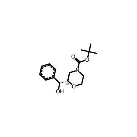 CC(C)(C)OC(=O)N1CCO[C@H](C(O)c2ccccc2)C1